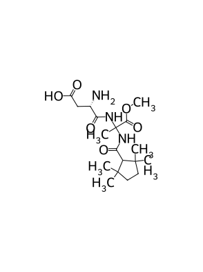 COC(=O)C(C)(NC(=O)C1C(C)(C)CCC1(C)C)NC(=O)[C@@H](N)CC(=O)O